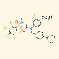 CN(CC(=O)N(Cc1ccc(C2CCCCC2)cc1)c1ccc(C(=O)O)c(F)c1)S(=O)(=O)c1c(F)c(F)c(F)c(F)c1F